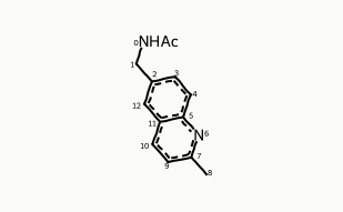 CC(=O)NCc1ccc2nc(C)ccc2c1